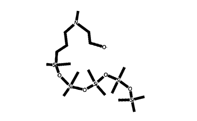 CN(CC[O])CCC[Si](C)(C)O[Si](C)(C)O[Si](C)(C)O[Si](C)(C)O[Si](C)(C)C